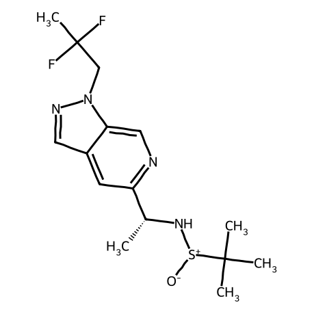 C[C@@H](N[S+]([O-])C(C)(C)C)c1cc2cnn(CC(C)(F)F)c2cn1